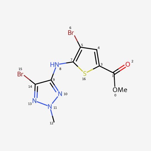 COC(=O)c1cc(Br)c(Nc2nn(C)nc2Br)s1